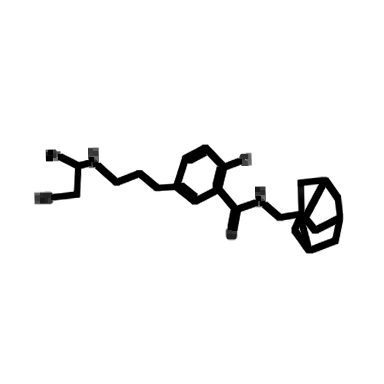 CC(C)C(CO)NCCCc1ccc(Cl)c(C(=O)NCC23CC4CC(CC(C4)C2)C3)c1